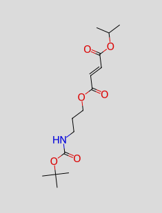 CC(C)OC(=O)/C=C/C(=O)OCCCNC(=O)OC(C)(C)C